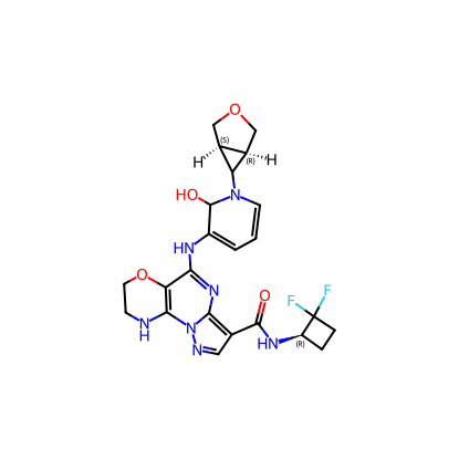 O=C(N[C@@H]1CCC1(F)F)c1cnn2c3c(c(NC4=CC=CN(C5[C@H]6COC[C@@H]56)C4O)nc12)OCCN3